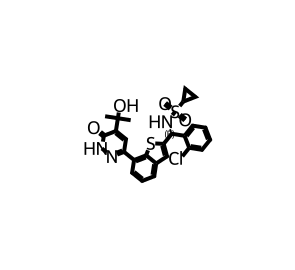 CC(C)(O)c1cc(-c2cccc3cc([C@H](NS(=O)(=O)C4CC4)c4ccccc4Cl)sc23)n[nH]c1=O